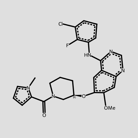 COc1cc2ncnc(Nc3cccc(Cl)c3F)c2cc1O[C@@H]1CCCN(C(=O)c2cccn2C)C1